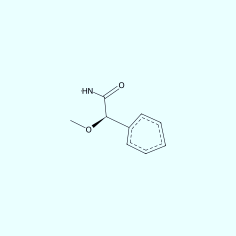 CO[C@@H](C([NH])=O)c1ccccc1